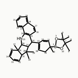 CC1(B2OC(C)(C)C(C)(C)O2)C=CC(C2c3ccc4ccccc4c3NC3C2C(C)(C)C2C=CC=CC32C)=CC1